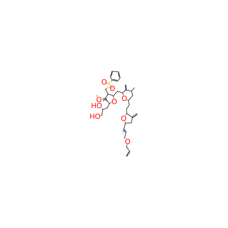 C=CCOC/C=C/C1CC(=C)C(CCC2CC(C)C(=C)C(CC3OC(CC(O)CO)[C@H](OC)C3CS(=O)(=O)c3ccccc3)O2)O1